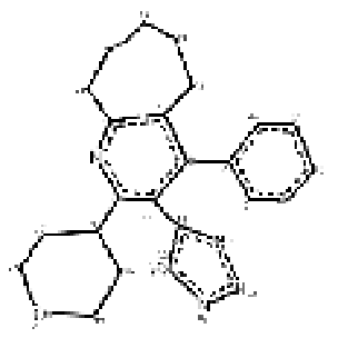 c1ccc(-c2c3c(nc(C4CCOCC4)c2-c2nnn[nH]2)CCCCC3)cc1